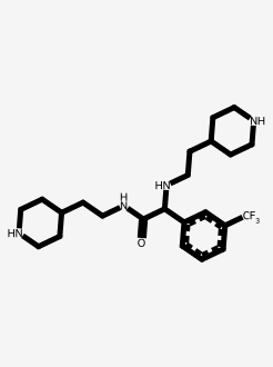 O=C(NCCC1CCNCC1)C(NCCC1CCNCC1)c1cccc(C(F)(F)F)c1